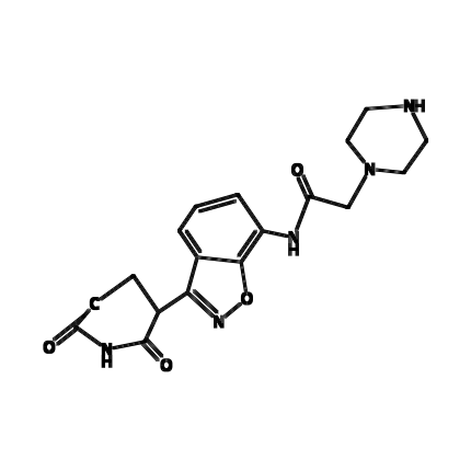 O=C1CCC(c2noc3c(NC(=O)CN4CCNCC4)cccc23)C(=O)N1